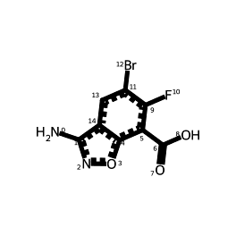 Nc1noc2c(C(=O)O)c(F)c(Br)cc12